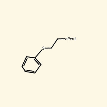 CCCCCCCSc1cc[c]cc1